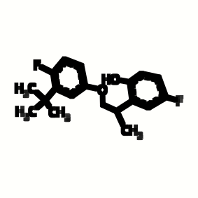 CC(COc1ccc(F)c(C(C)(C)C)c1)c1cc(F)ccc1O